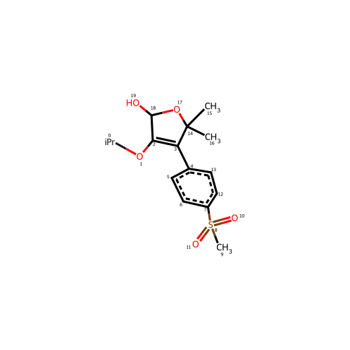 CC(C)OC1=C(c2ccc(S(C)(=O)=O)cc2)C(C)(C)OC1O